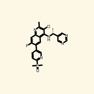 Cc1nc2cc(F)c(-c3ccc(P(C)(C)=O)nc3)cc2c(N[C@H](C)c2cncnc2)c1Cl